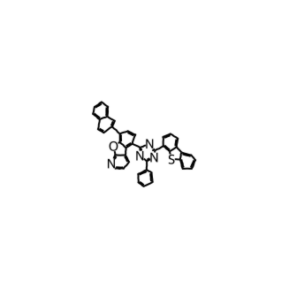 c1ccc(-c2nc(-c3cccc4c3sc3ccccc34)nc(-c3ccc(-c4ccc5ccccc5c4)c4oc5ncccc5c34)n2)cc1